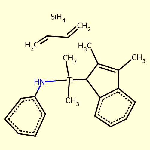 C=CC=C.CC1=C(C)[CH]([Ti]([CH3])([CH3])[NH]c2ccccc2)c2ccccc21.[SiH4]